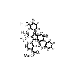 C=C(C)c1c(-c2cncc(C(=O)OC)c2)c2c(OCc3ccccc3)cc(F)cc2n1-c1ccc(F)c(C)c1